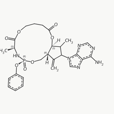 C=C1C(n2cnc3c(N)ncnc32)C(C)[C@@H]2OC(=O)CCCOC(=O)[C@H](C)N[P@](=O)(Oc3ccccc3)OC[C@@H]12